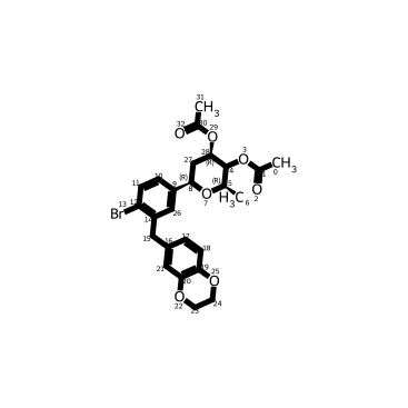 CC(=O)OC1[C@@H](C)O[C@@H](c2ccc(Br)c(Cc3ccc4c(c3)OCCO4)c2)C[C@H]1OC(C)=O